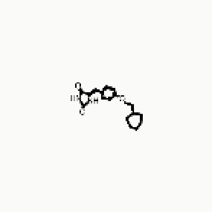 O=C1NC(=O)/C(=C/c2ccc(OCCC3CCCCC3)cc2)N1